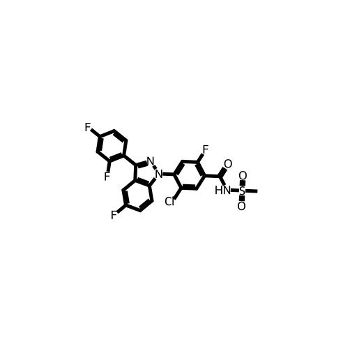 CS(=O)(=O)NC(=O)c1cc(Cl)c(-n2nc(-c3ccc(F)cc3F)c3cc(F)ccc32)cc1F